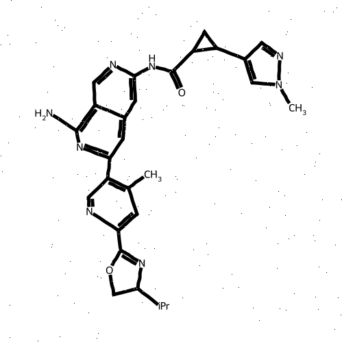 Cc1cc(C2=NC(C(C)C)CO2)ncc1-c1cc2cc(NC(=O)C3CC3c3cnn(C)c3)ncc2c(N)n1